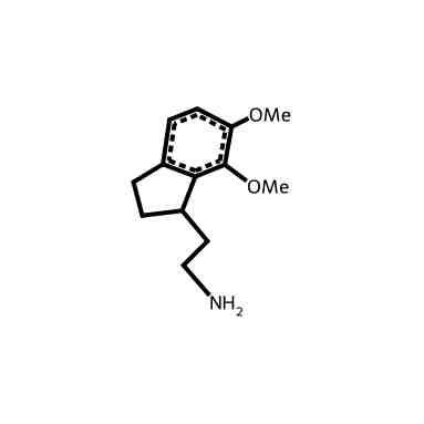 COc1ccc2c(c1OC)C(CCN)CC2